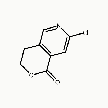 O=C1OCCc2cnc(Cl)cc21